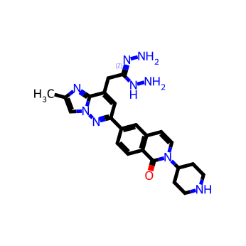 Cc1cn2nc(-c3ccc4c(=O)n(C5CCNCC5)ccc4c3)cc(C/C(=N/N)NN)c2n1